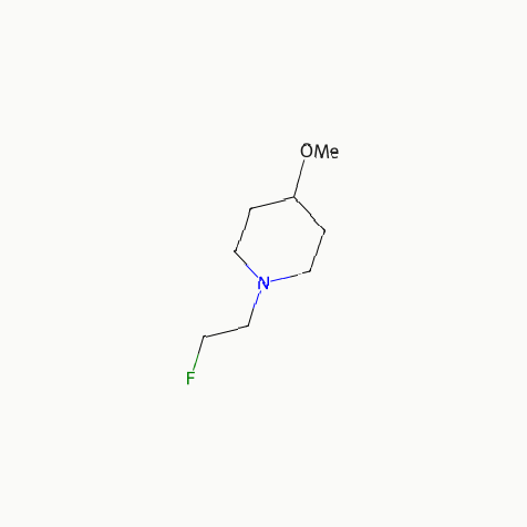 COC1CCN(CCF)CC1